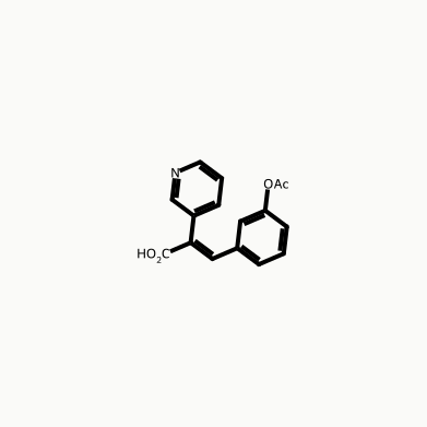 CC(=O)Oc1cccc(C=C(C(=O)O)c2cccnc2)c1